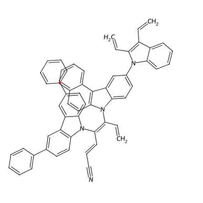 C=C/C(=C(\C=C\C#N)n1c2ccc(-c3ccccc3)cc2c2cc(-c3ccccc3)ccc21)n1c2ccc(-n3c(C=C)c(C=C)c4ccccc43)cc2c2c3ccccc3ccc21